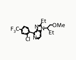 CCc1nc2c(-c3ccc(C(F)(F)F)cc3Cl)nccc2n1C(CC)COC